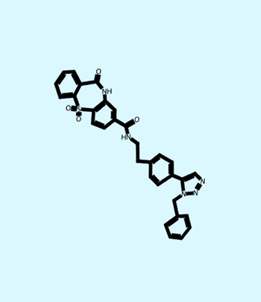 O=C(NCCc1ccc(-c2cnnn2Cc2ccccc2)cc1)c1ccc2c(c1)NC(=O)c1ccccc1S2(=O)=O